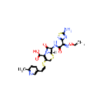 CCO/N=C(/C(=O)NC1C(=O)N2C(C(=O)O)=C(S/C=C\c3ccc(C)nc3)CS[C@H]12)c1nsc(N)n1